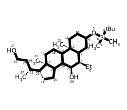 CC[C@@H]1C2CC(O[Si](C)(C)C(C)(C)C)CC[C@]2(C)C2CC[C@@]3(C)C(CC[C@@H]3[C@H](C)CCO)C2[C@@H]1O